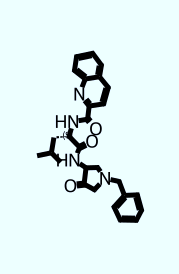 CC(C)C[C@H](NC(=O)c1ccc2ccccc2n1)C(=O)NC1CN(Cc2ccccc2)CC1=O